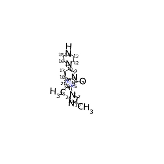 Cc1cn(/C2=C/C(=O)N3C=C(N4CCNCC4)C=C/C3=C\CC2C)cn1